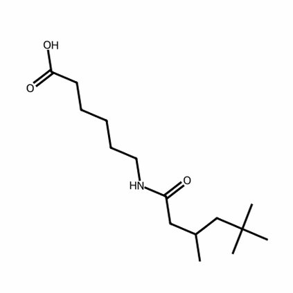 CC(CC(=O)NCCCCCC(=O)O)CC(C)(C)C